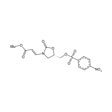 CC(C)(C)OC(=O)/C=C/N1C[C@@H](COS(=O)(=O)c2ccc([N+](=O)[O-])cc2)OC1=O